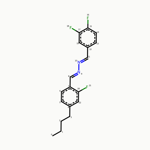 CCCCc1ccc(C=NN=Cc2ccc(F)c(F)c2)c(F)c1